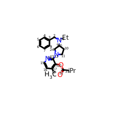 CCN(Cc1ccccc1)[C@@H]1CCN(c2nccc(C)c2OC(=O)C(C)C)C1